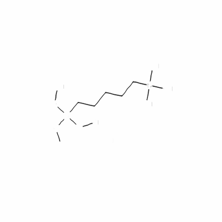 CO[Si](CCCCC[N+](C)(C)O)(OC)OC.[Cl-]